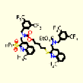 CCCS(=O)(=O)c1nc2c(C)cccc2cc1CN(Cc1cc(C(F)(F)F)cc(C(F)(F)F)c1)C(=O)OCCCCCSc1nc2c(C)cccc2cc1CN(Cc1cc(C(F)(F)F)cc(C(F)(F)F)c1)C(=O)OCC